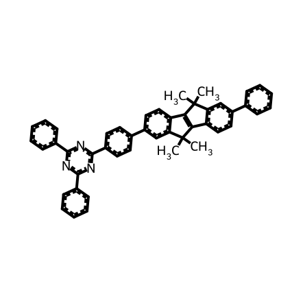 CC1(C)C2=C(c3ccc(-c4ccccc4)cc31)C(C)(C)c1cc(-c3ccc(-c4nc(-c5ccccc5)nc(-c5ccccc5)n4)cc3)ccc12